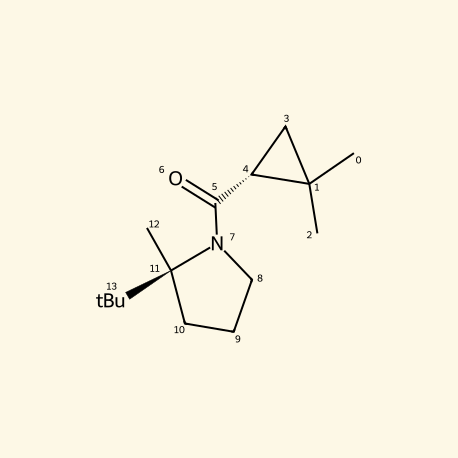 CC1(C)C[C@H]1C(=O)N1CCC[C@@]1(C)C(C)(C)C